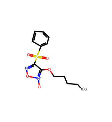 CC(C)(C)CCCCOc1c(S(=O)(=O)c2ccccc2)no[n+]1[O-]